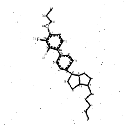 CCCCCC1CCC2C(c3ccc(-c4ccc(OCCC)c(F)c4F)cc3)CCC12